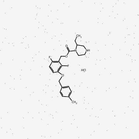 CCC1CNCCN1C(=O)OCc1c(F)ccc(OCc2ccc(C)cc2)c1F.Cl